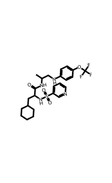 CC(CNc1ccc(OC(F)(F)F)cc1)NC(=O)C(CC1CCCCC1)NS(=O)(=O)c1cccnc1